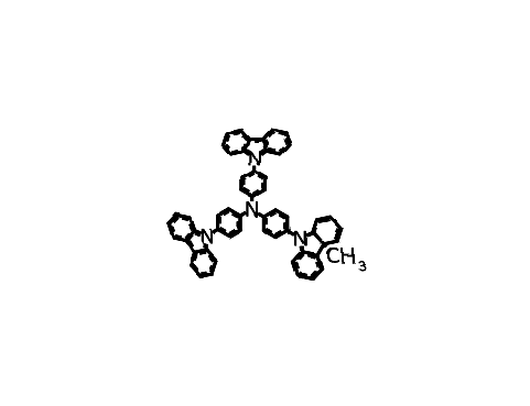 CC12C=CC=CC1N(c1ccc(N(c3ccc(-n4c5ccccc5c5ccccc54)cc3)c3ccc(-n4c5ccccc5c5ccccc54)cc3)cc1)c1ccccc12